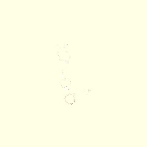 O=C(O)c1ccccc1N1CCN(CCN2CCS(=O)(=O)CC2)CC1